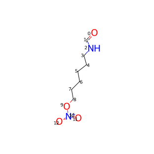 O=[C]NCCCCCCO[N+](=O)[O-]